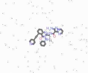 C[C@@H](NC(=O)c1c(N)nn2cccnc12)c1nc2cccc(C#Cc3ccncc3)c2c(=O)n1Nc1ccccc1